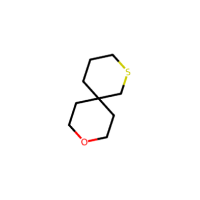 C1CSCC2(C1)CCOCC2